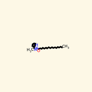 CCCCCCCCCCCCCCCCCC(=O)N/N=C(/C)c1ccccc1